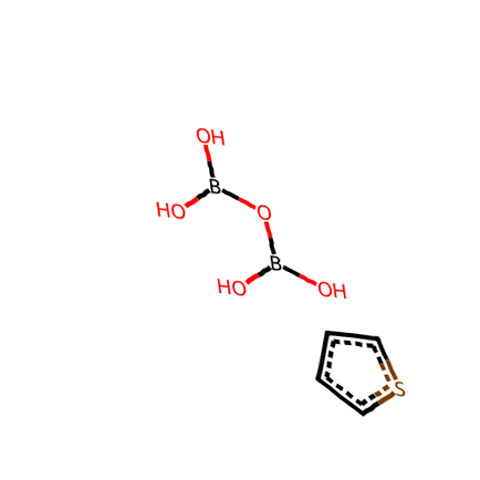 OB(O)OB(O)O.c1ccsc1